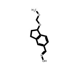 COCOC1CCc2cc(C=NO)ccc21